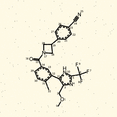 COCc1nc(C(F)(F)F)[nH]c1-c1cc(C(=O)N2CC(c3ccc(C#N)cc3)C2)ccc1C